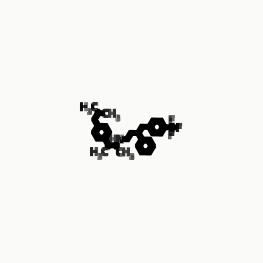 CC(C)Cc1ccc(C(C)C(C)NCCC(Cc2ccc(C(F)(F)F)cc2)c2ccccc2)cc1